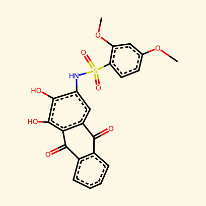 COc1ccc(S(=O)(=O)Nc2cc3c(c(O)c2O)C(=O)c2ccccc2C3=O)c(OC)c1